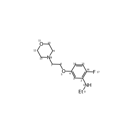 CCNc1cc(OCCN2CCOCC2)ccc1F